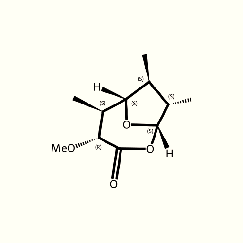 CO[C@H]1C(=O)O[C@@H]2O[C@@H]([C@@H](C)[C@@H]2C)[C@@H]1C